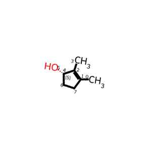 CC1=C(C)[C@@H](O)CC1